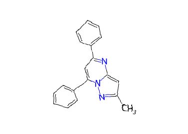 Cc1cc2nc(-c3ccccc3)cc(-c3ccccc3)n2n1